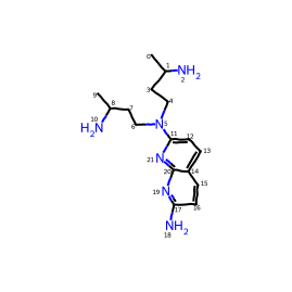 CC(N)CCN(CCC(C)N)c1ccc2ccc(N)nc2n1